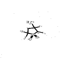 CC1(F)CC(F)(F)S(=O)(=O)C1F